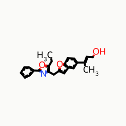 CCc1oc(-c2ccccc2)nc1Cc1cc2cc(C(C)=CCO)ccc2o1